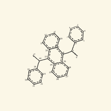 CC(c1ccccc1)c1c2ccccc2c(C(C)c2ccccc2)c2ccccc12